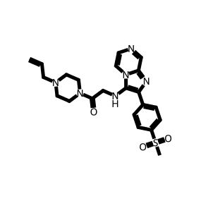 C=CCN1CCN(C(=O)CNc2c(-c3ccc(S(C)(=O)=O)cc3)nc3cnccn23)CC1